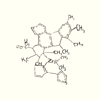 C[C](C)=[Zr+2]([C]1=C(c2ccsc2)C=CC1)[C]1(C)c2c3c(c4ccccc4c2C(C)C(C)C1C)-c1cc(C)c(C)c(C)c1C3C.[Cl-].[Cl-]